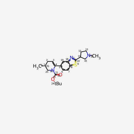 C[C@H]1CC=C(c2ccc3sc(C4CCN(C)C4)nc3c2)N(C(=O)OC(C)(C)C)C1